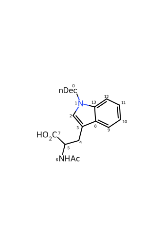 CCCCCCCCCCn1cc(CC(NC(C)=O)C(=O)O)c2ccccc21